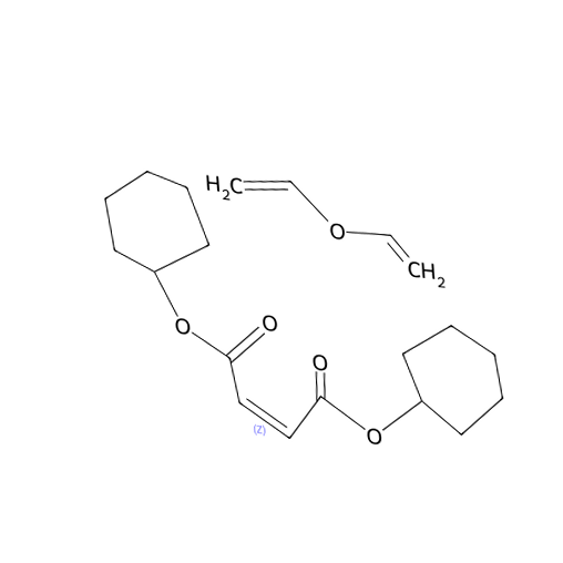 C=COC=C.O=C(/C=C\C(=O)OC1CCCCC1)OC1CCCCC1